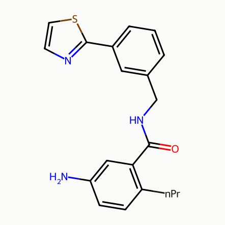 CCCc1ccc(N)cc1C(=O)NCc1cccc(-c2nccs2)c1